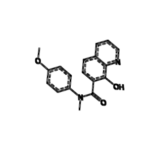 COc1ccc(N(C)C(=O)c2ccc3cccnc3c2O)cc1